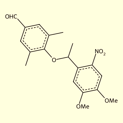 COc1cc(C(C)Oc2c(C)cc(C=O)cc2C)c([N+](=O)[O-])cc1OC